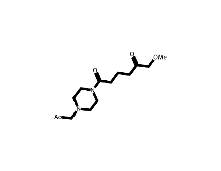 COCC(=O)CCCC(=O)N1CCN(CC(C)=O)CC1